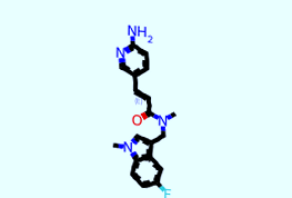 CN(Cc1cn(C)c2ccc(F)cc12)C(=O)/C=C/c1ccc(N)nc1